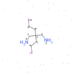 NCC(CN)(CCI)CCI